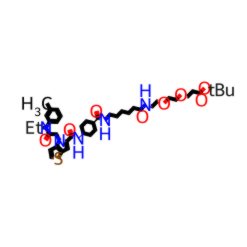 CCN(C(=O)Cn1c(C(=O)N[C@H]2CC[C@H](C(=O)NCCCCCC(=O)NCCOCCOCCC(=O)OC(C)(C)C)CC2)cc2sccc21)c1cccc(C)c1